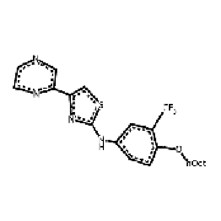 CCCCCCCCOc1ccc(Nc2nc(-c3cnccn3)cs2)cc1C(F)(F)F